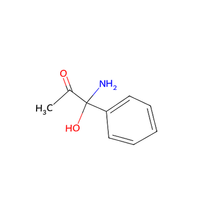 CC(=O)C(N)(O)c1ccccc1